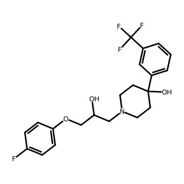 OC(COc1ccc(F)cc1)CN1CCC(O)(c2cccc(C(F)(F)F)c2)CC1